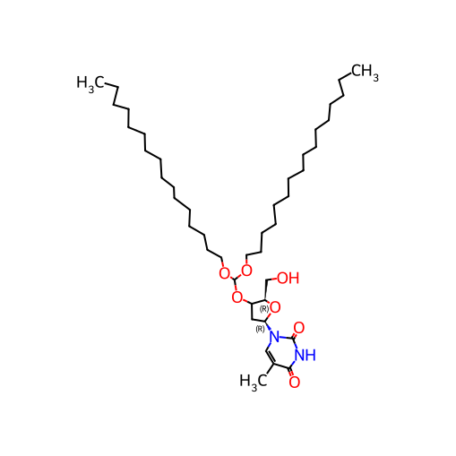 CCCCCCCCCCCCCCCCOC(OCCCCCCCCCCCCCCCC)OC1C[C@H](n2cc(C)c(=O)[nH]c2=O)O[C@@H]1CO